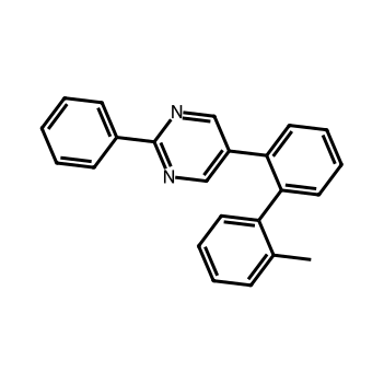 Cc1ccccc1-c1ccccc1-c1cnc(-c2ccccc2)nc1